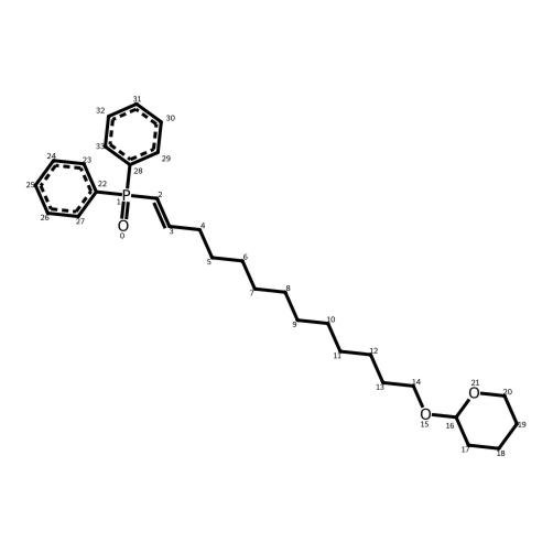 O=P(C=CCCCCCCCCCCCOC1CCCCO1)(c1ccccc1)c1ccccc1